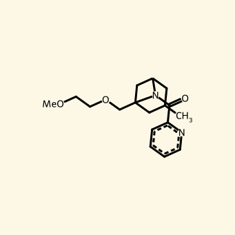 COCCOCC12CC(C)CC(C1)N2C(=O)c1ccccn1